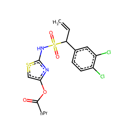 C=CC(c1ccc(Cl)c(Cl)c1)S(=O)(=O)Nc1nc(OC(=O)CCC)cs1